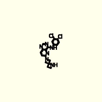 Clc1ccc(Nc2ncnc3ccc(N4CC5(CCN5)C4)nc23)cc1Cl